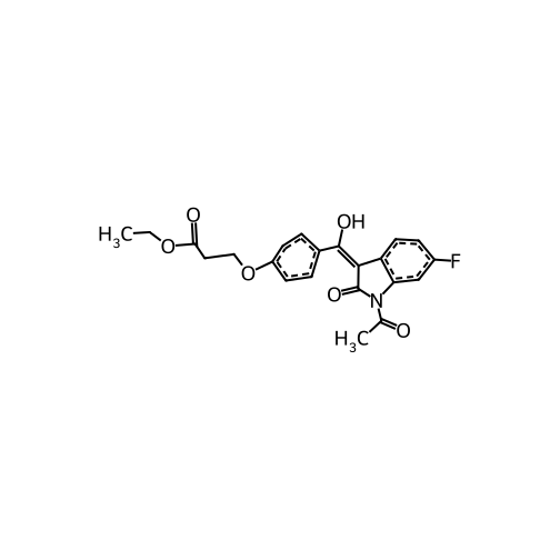 CCOC(=O)CCOc1ccc(C(O)=C2C(=O)N(C(C)=O)c3cc(F)ccc32)cc1